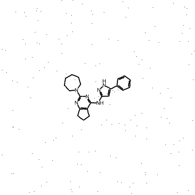 c1ccc(-c2cc(Nc3nc(N4CCCCCC4)nc4c3CCC4)n[nH]2)cc1